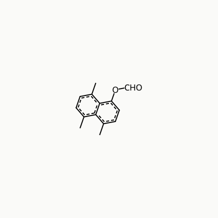 Cc1ccc(C)c2c(OC=O)ccc(C)c12